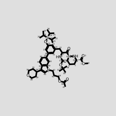 COC(=O)[C@@H]1CCCN(C(=O)C(Cc2cc(O[Si](C(C)C)(C(C)C)C(C)C)cc(-c3ccc4c(C5CCOCC5)cn(CCCOC(C)=O)c4c3)c2)NC(=O)OC(C)(C)C)N1